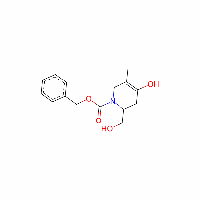 CC1=C(O)CC(CO)N(C(=O)OCc2ccccc2)C1